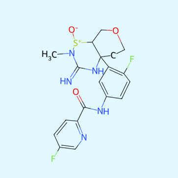 CN1C(=N)NC2(c3cc(NC(=O)c4ccc(F)cn4)ccc3F)CCOCC2[S+]1[O-]